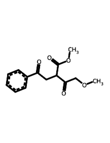 COCC(=O)C(CC(=O)c1ccccc1)C(=O)OC